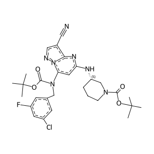 CC(C)(C)OC(=O)N1CCC[C@H](Nc2cc(N(Cc3cc(F)cc(Cl)c3)C(=O)OC(C)(C)C)n3ncc(C#N)c3n2)C1